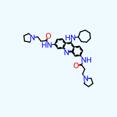 O=C(CCN1CCCC1)Nc1ccc2c(NC3CCCCCC3)c3ccc(NC(=O)CCN4CCCC4)cc3nc2c1